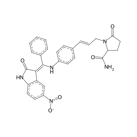 NC(=O)C1CCC(=O)N1CC=Cc1ccc(NC(=C2C(=O)Nc3ccc([N+](=O)[O-])cc32)c2ccccc2)cc1